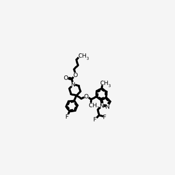 CCCCOC(=O)N1CCC(COC(C)c2cc(C)cc3cnn(CC(F)F)c23)(c2ccc(F)cc2)CC1